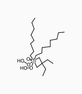 CCCCCCC[CH2][Ti]1(=[O])([CH2]CCCCCCC)([O]O)([O]O)[CH2]C(CC)(CC)[CH2]1